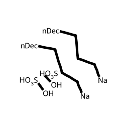 CCCCCCCCCCCC[CH2][Na].CCCCCCCCCCCC[CH2][Na].O=S(=O)(O)O.O=S(=O)(O)O